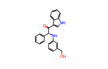 O=C(c1c[nH]c2ccccc12)[C@@H](Nc1cccc(CO)c1)c1ccccc1